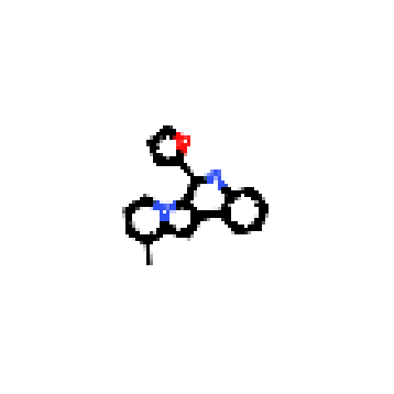 Cc1cccn2c1cc1c3ccccc3nc(-c3ccco3)c12